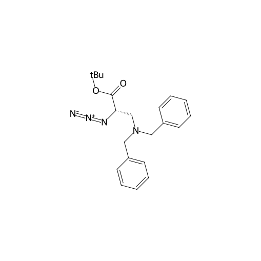 CC(C)(C)OC(=O)[C@H](CN(Cc1ccccc1)Cc1ccccc1)N=[N+]=[N-]